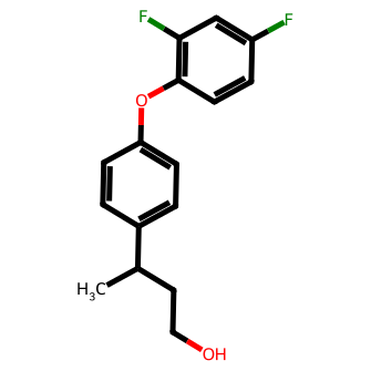 CC(CCO)c1ccc(Oc2ccc(F)cc2F)cc1